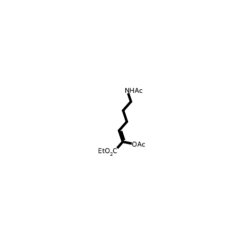 CCOC(=O)C(=CCCCNC(C)=O)OC(C)=O